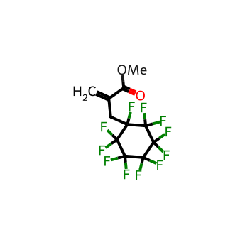 C=C(CC1(F)C(F)(F)C(F)(F)C(F)(F)C(F)(F)C1(F)F)C(=O)OC